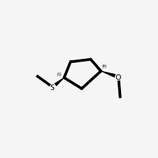 CO[C@@H]1CC[C@H](SC)C1